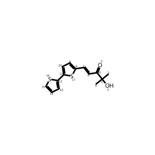 CC(C)(O)C(=O)/C=C/c1ccc(-c2cccs2)s1